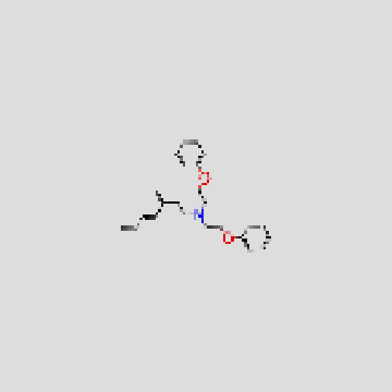 C=CC=CC(=C)CCN(CCOc1ccccc1)CCOc1ccccc1